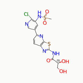 CS(=O)(=O)Nc1cc(-c2ccc3nc(NC(=O)[C@@H](O)CO)sc3n2)cnc1Cl